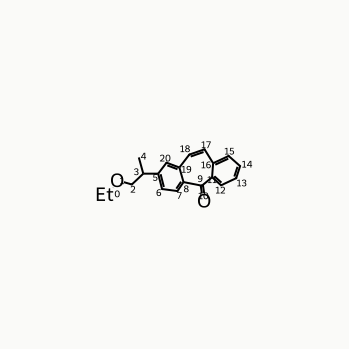 CCOCC(C)c1ccc2c(=O)c3ccccc3ccc2c1